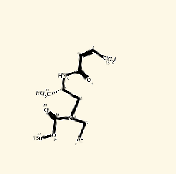 CC(=O)CN(C[C@@H](NC(=O)/C=C\C(=O)O)C(=O)O)C(=O)OC(C)(C)C